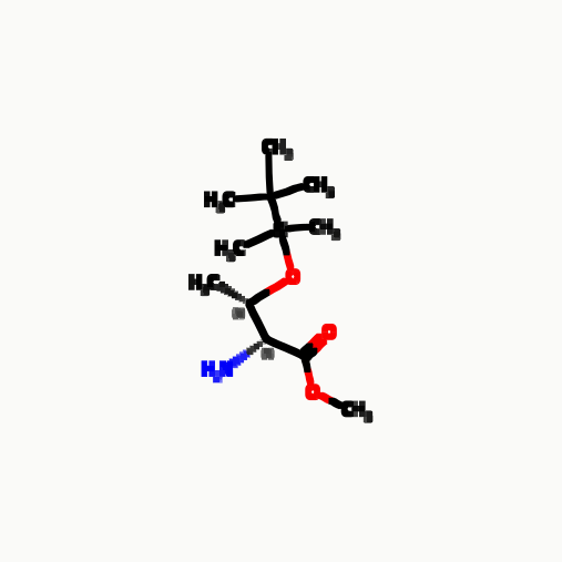 COC(=O)[C@H](N)[C@H](C)O[Si](C)(C)C(C)(C)C